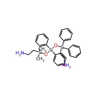 C[Si](C)(CCN)O[Si](O[Si](CCN)(c1ccccc1)c1ccccc1)(c1ccccc1)c1ccccc1